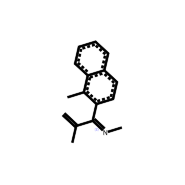 C=C(C)/C(=N/C)c1ccc2ccccc2c1C